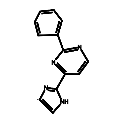 [c]1c[nH]c(-c2ccnc(-c3ccccc3)n2)n1